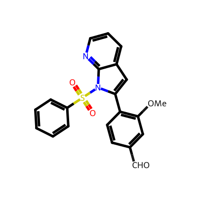 COc1cc(C=O)ccc1-c1cc2cccnc2n1S(=O)(=O)c1ccccc1